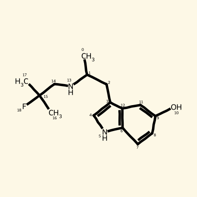 CC(Cc1c[nH]c2ccc(O)cc12)NCC(C)(C)F